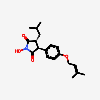 CC(C)=CCOc1ccc([C@H]2C(=O)N(O)C(=O)[C@@H]2CC(C)C)cc1